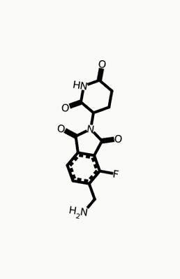 NCc1ccc2c(c1F)C(=O)N(C1CCC(=O)NC1=O)C2=O